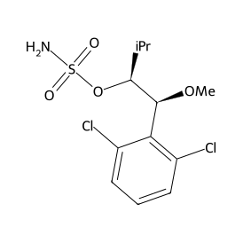 CO[C@@H](c1c(Cl)cccc1Cl)[C@@H](OS(N)(=O)=O)C(C)C